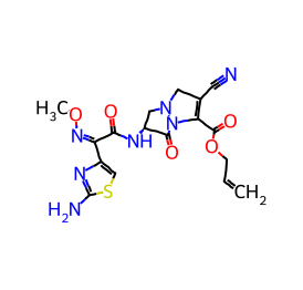 C=CCOC(=O)C1=C(C#N)CN2C[C@H](NC(=O)/C(=N\OC)c3csc(N)n3)C(=O)N12